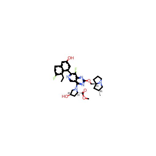 CCc1c(F)ccc2cc(O)cc(-c3ncc4c(N5C[C@H](O)C[C@H]5C(=O)OC)nc(OC[C@@]56CCCN5C[C@H](C)C6)nc4c3F)c12